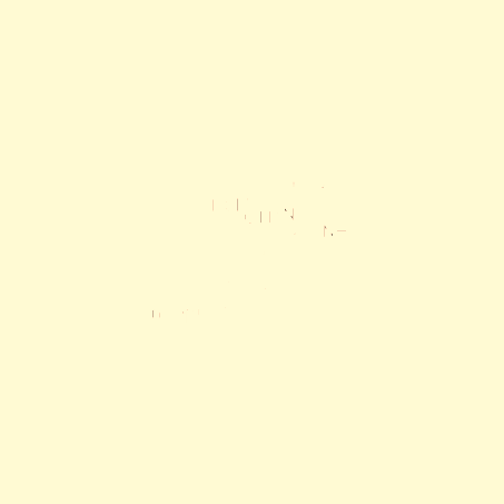 CCCCCCCCCCCCC1=NCCCN1.Cl.Cl